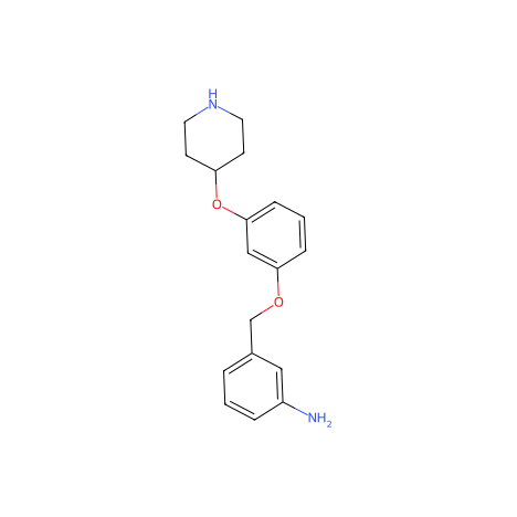 Nc1cccc(COc2cccc(OC3CCNCC3)c2)c1